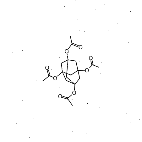 CC(=O)OC12CC3(OC(C)=O)CC(OC(C)=O)(C1)CC(OC(C)=O)(C2)C3